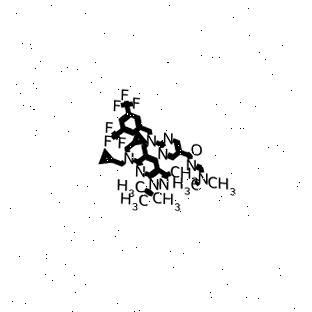 Cc1nn(C(C)(C)C)c2nc(N(CC3CC3)CC3CC3)c(CN(Cc3cc(C(F)(F)F)cc(C(F)(F)F)c3)c3ncc(C(=O)N=CN(C)C)cn3)cc12